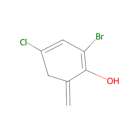 C=C1CC(Cl)=CC(Br)=C1O